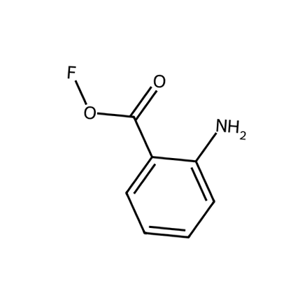 Nc1ccccc1C(=O)OF